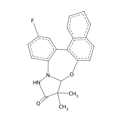 CC1(C)C(=O)NN2c3ccc(F)cc3-c3c(ccc4ccccc34)OC21